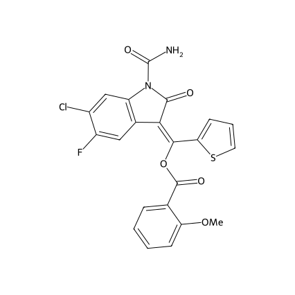 COc1ccccc1C(=O)O/C(=C1/C(=O)N(C(N)=O)c2cc(Cl)c(F)cc21)c1cccs1